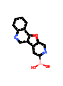 OB(O)c1cc2c(cn1)oc1c3ccccc3ncc21